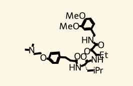 CCC(NC(=O)[C@H](CC(C)C)NC(=O)CCc1ccc(OCCN(C)C)cc1)C(=O)C(=O)NCc1ccc(OC)c(OC)c1